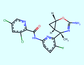 C[C@]1(c2nc(NC(=O)c3ncc(Cl)cc3Cl)ccc2F)N=C(N)O[C@H]2C[C@H]21